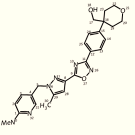 CNc1ccc(Cn2nc(-c3nc(-c4ccc(C5(CO)CCOCC5)cc4)no3)cc2C)cn1